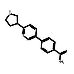 NC(=O)c1ccc(-c2ccc(C3CCNC3)nc2)cc1